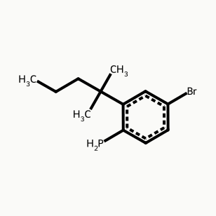 CCCC(C)(C)c1cc(Br)ccc1P